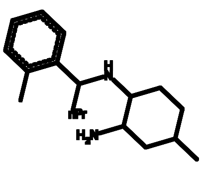 CCCC(NC1CCC(C)CC1N)c1ccccc1C